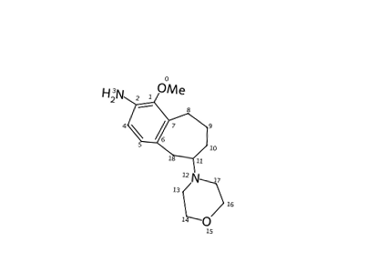 COc1c(N)ccc2c1CCCC(N1CCOCC1)C2